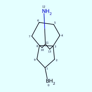 BC1CC23CCCCC2(C1)CC(N)C3